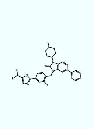 CN1CCC(n2c(=O)n(Cc3ccc(-c4nnc(C(F)F)o4)cc3F)c3cc(-c4cccnc4)ccc32)CC1